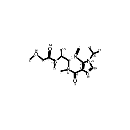 C=Nc1c(C(=O)N(C)C[C@H](C)N(C)C(=O)COC)ncn1C(C)C